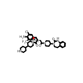 CS(=O)(=O)[N+]1(C(=O)[C@H](CC(=O)N2CCC(N3CCc4ccccc4NC3=O)CC2)Cc2cc(Cl)c(N)c(C(F)(F)F)c2)CCC(C2CCNCC2)CC1